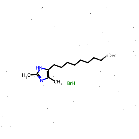 Br.CCCCCCCCCCCCCCCCCCc1[nH]c(C)nc1C